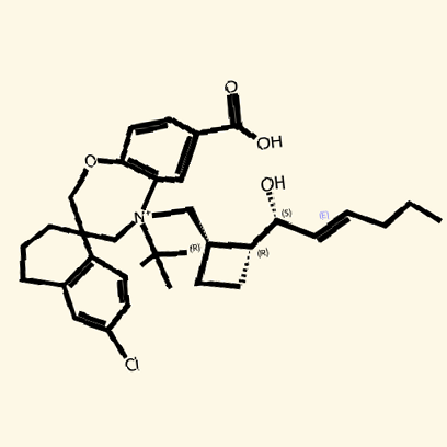 CCC/C=C/[C@@H](O)[C@@H]1CC[C@H]1C[N+]1(C(C)(C)C)CC2(CCCc3cc(Cl)ccc32)COc2ccc(C(=O)O)cc21